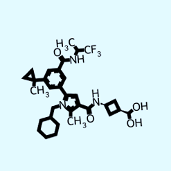 Cc1c(C(=O)N[C@H]2C[C@H](C(O)O)C2)cc(-c2cc(C(=O)NC(C)C(F)(F)F)cc(C3(C)CC3)c2)n1CC1CCCCC1